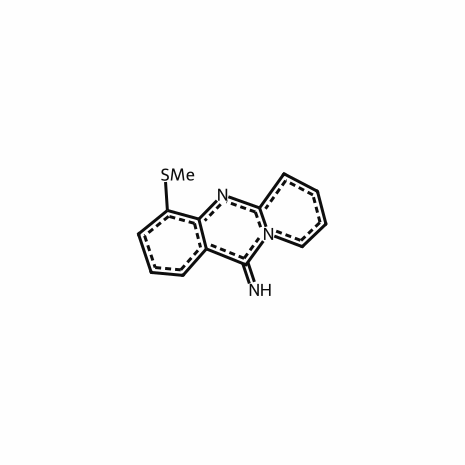 CSc1cccc2c(=N)n3ccccc3nc12